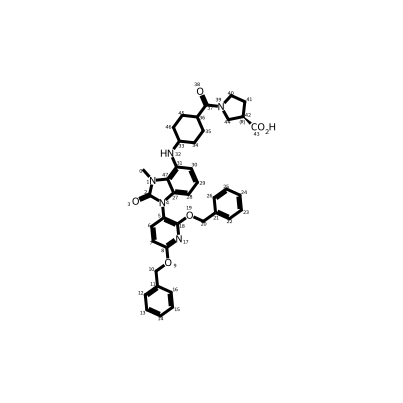 Cn1c(=O)n(-c2ccc(OCc3ccccc3)nc2OCc2ccccc2)c2cccc(NC3CCC(C(=O)N4CC[C@@H](C(=O)O)C4)CC3)c21